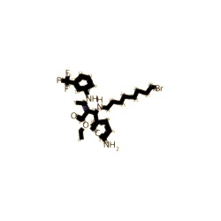 CCOC(=O)/C(=C(\C)Nc1cccc(C(F)(F)F)c1)C(NCCCCCCCCBr)c1ccc(N)cc1